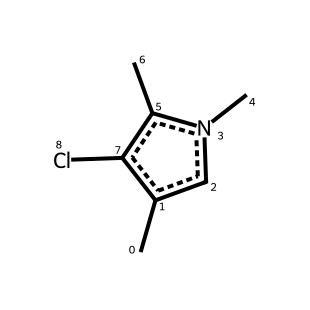 Cc1cn(C)c(C)c1Cl